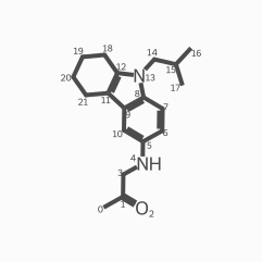 CC(=O)CNc1ccc2c(c1)c1c(n2CC(C)C)CCCC1